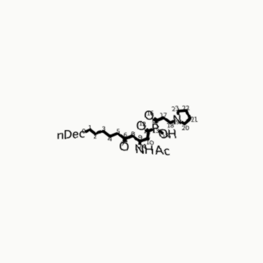 CCCCCCCCCCCCCCCC(=O)CC(CC(=O)P(O)C(=O)CCN1CCCC1)NC(C)=O